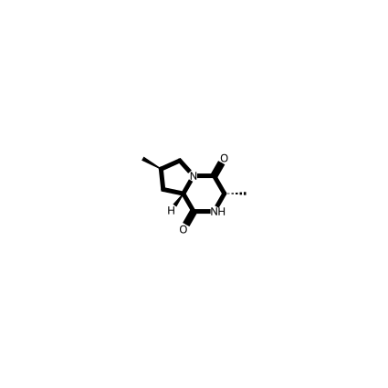 C[C@@H]1C[C@H]2C(=O)N[C@@H](C)C(=O)N2C1